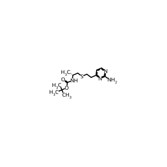 C[C@H](CSCCc1ccnc(N)n1)NC(=O)OC(C)(C)C